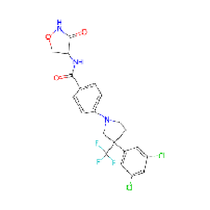 O=C(NC1CONC1=O)c1ccc(N2CCC(c3cc(Cl)cc(Cl)c3)(C(F)(F)F)C2)cc1